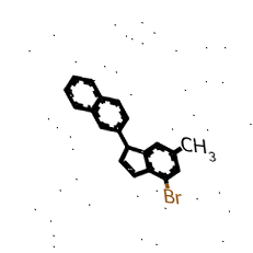 Cc1cc(Br)c2c(c1)C(c1ccc3ccccc3c1)C=C2